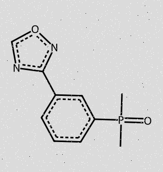 CP(C)(=O)c1cccc(-c2ncon2)c1